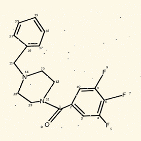 O=C(c1cc(F)c(F)c(F)c1)N1CCN(Cc2ccccc2)CC1